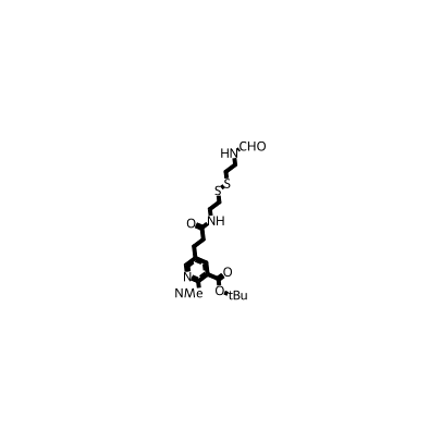 CNc1ncc(CCC(=O)NCCSSCCNC=O)cc1C(=O)OC(C)(C)C